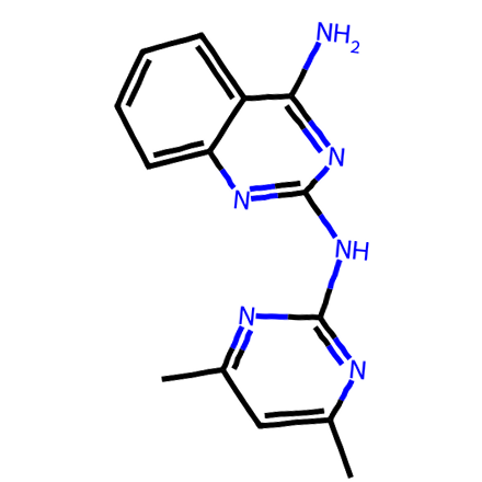 Cc1cc(C)nc(Nc2nc(N)c3ccccc3n2)n1